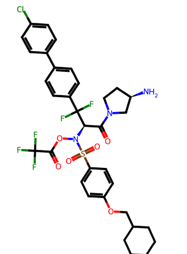 N[C@@H]1CCN(C(=O)[C@@H](N(OC(=O)C(F)(F)F)S(=O)(=O)c2ccc(OCC3CCCCC3)cc2)C(F)(F)c2ccc(-c3ccc(Cl)cc3)cc2)C1